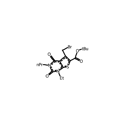 CCCn1c(=O)c2c(CBr)c(C(=O)OC(C)(C)C)sc2n(CC)c1=O